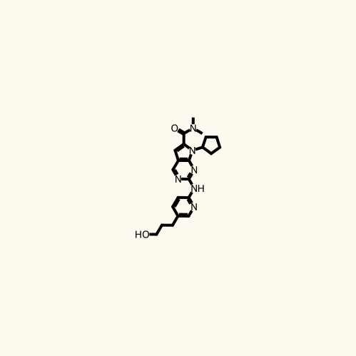 CN(C)C(=O)c1cc2cnc(Nc3ccc(CCCO)cn3)nc2n1C1CCCC1